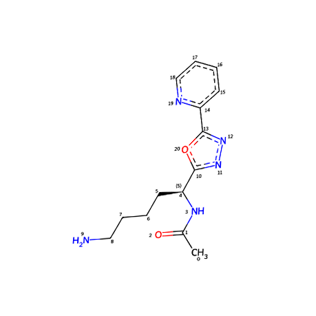 CC(=O)N[C@@H](CCCCN)c1nnc(-c2ccccn2)o1